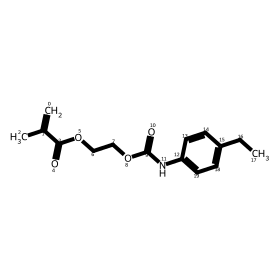 C=C(C)C(=O)OCCOC(=O)Nc1ccc(CC)cc1